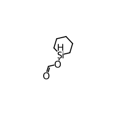 O=CO[SiH]1CCCCC1